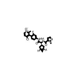 Cc1c(-c2ccc(NC(=O)C(NC(=O)c3ccnn3C)[C@H]3C[C@@H]4C[C@@H]4C3)cc2F)c(Cl)cc[n+]1[O-]